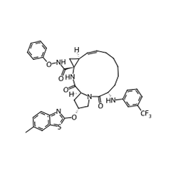 Cc1ccc2nc(O[C@@H]3C[C@H]4C(=O)N[C@]5(C(=O)NOc6ccccc6)C[C@H]5/C=C\CCCCC[C@H](Nc5cccc(C(F)(F)F)c5)C(=O)N4C3)sc2c1